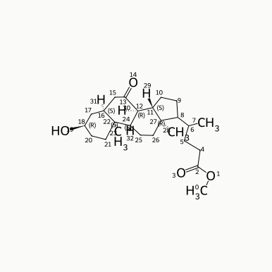 COC(=O)CCC(C)C1CC[C@H]2[C@@H]3C(=O)C[C@@H]4C[C@H](O)CC[C@]4(C)[C@H]3CC[C@]12C